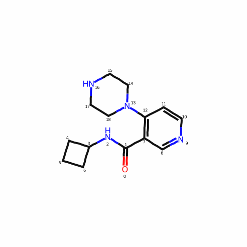 O=C(NC1CCC1)c1cnccc1N1CCNCC1